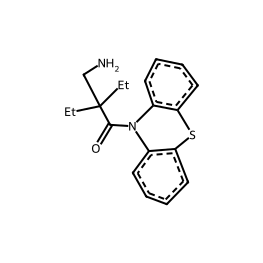 CCC(CC)(CN)C(=O)N1c2ccccc2Sc2ccccc21